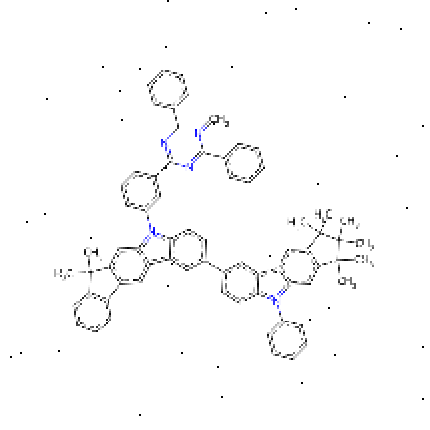 C=N/C(=N\C(=N/Cc1ccccc1)c1cccc(-n2c3ccc(-c4ccc5c(c4)c4cc6c(cc4n5-c4ccccc4)C(C)(C)C(C)(C)C6(C)C)cc3c3cc4c(cc32)C(C)(C)c2ccccc2-4)c1)c1ccccc1